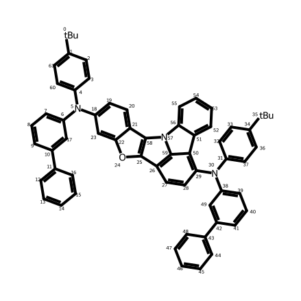 CC(C)(C)c1ccc(N(c2cccc(-c3ccccc3)c2)c2ccc3c(c2)oc2c4ccc(N(c5ccc(C(C)(C)C)cc5)c5cccc(-c6ccccc6)c5)c5c6ccccc6n(c32)c45)cc1